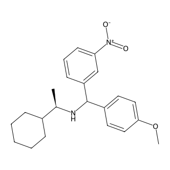 COc1ccc(C(N[C@H](C)C2CCCCC2)c2cccc([N+](=O)[O-])c2)cc1